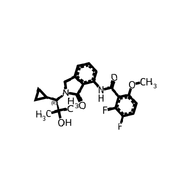 COc1ccc(F)c(F)c1C(=O)Nc1cccc2c1C(=O)N([C@H](C1CC1)C(C)(C)O)C2